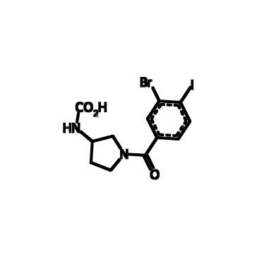 O=C(O)NC1CCN(C(=O)c2ccc(I)c(Br)c2)C1